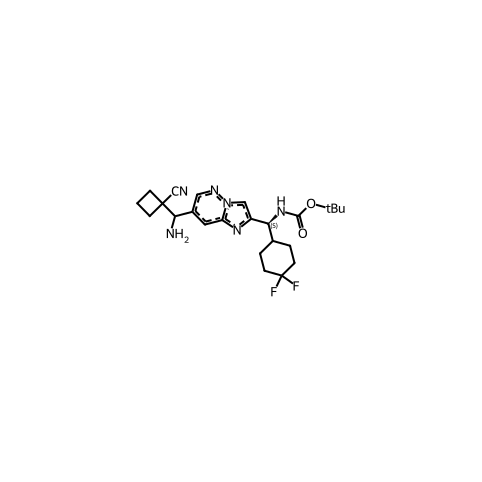 CC(C)(C)OC(=O)N[C@H](c1cn2ncc(C(N)C3(C#N)CCC3)cc2n1)C1CCC(F)(F)CC1